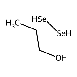 CCCO.[SeH][SeH]